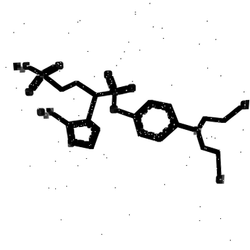 CS(=O)(=O)CCC(c1ccsc1[N+](=O)[O-])S(=O)(=O)Oc1ccc(N(CCCl)CCCl)cc1